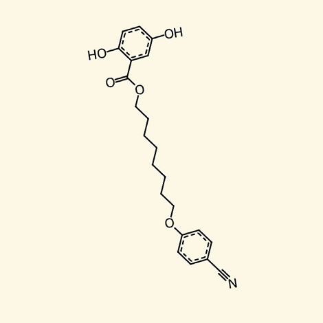 N#Cc1ccc(OCCCCCCCCOC(=O)c2cc(O)ccc2O)cc1